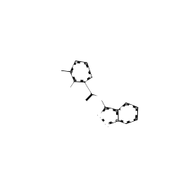 Cc1c(F)cccc1C(=O)Oc1n[nH]c2ccccc12